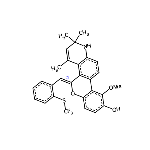 COc1c(O)ccc2c1-c1ccc3c(c1/C(=C/c1ccccc1SC(F)(F)F)O2)C(C)=CC(C)(C)N3